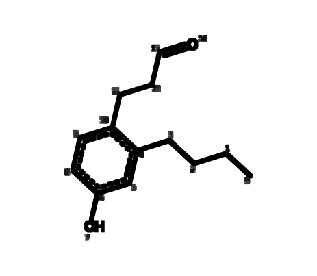 CCCCc1cc(O)ccc1CCC=O